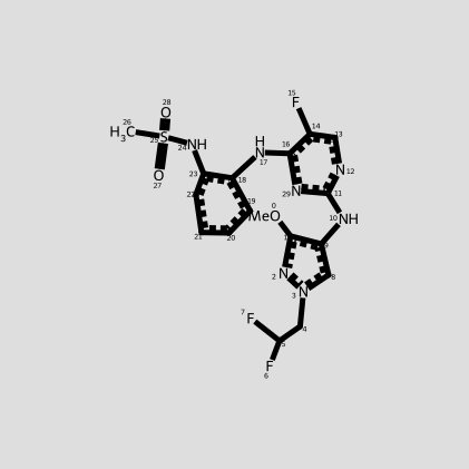 COc1nn(CC(F)F)cc1Nc1ncc(F)c(Nc2ccccc2NS(C)(=O)=O)n1